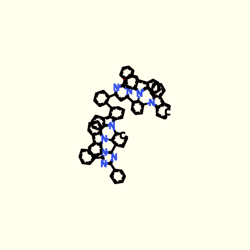 c1ccc(-c2nc(-c3ccccc3-c3cccc4c3c3ccccc3n4-c3cccc(-c4nc(-c5ccccc5)nc(-c5ccccc5)n4)c3-n3c4ccccc4c4ccccc43)cc(-c3cccc(-n4c5ccccc5c5ccccc54)c3-n3c4ccccc4c4ccccc43)n2)cc1